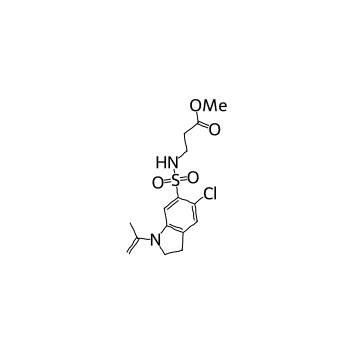 C=C(C)N1CCc2cc(Cl)c(S(=O)(=O)NCCC(=O)OC)cc21